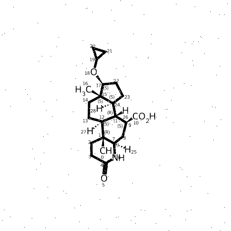 C[C@]12CCC(=O)N[C@@H]1C[C@H](C(=O)O)[C@@H]1[C@@H]2CC[C@]2(C)[C@@H](OC3CC3)CC[C@@H]12